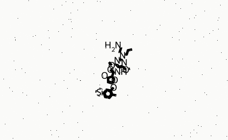 CCCN(CCN)c1nc(OC)c(NC(=O)C2OC(Oc3cc([Si](C)(C)C)ccc3C)=CC2=O)c(OC)n1